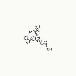 C=CC(=O)N1CCN(c2nc(OC[C@@H](C)C3CCCN3CCO)nc3c2CCN(c2cccc4ccccc24)C3)C[C@@H]1CC#N